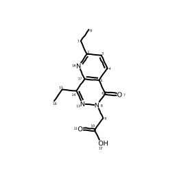 CCc1ccc2c(=O)n(CC(=O)O)nc(CC)c2n1